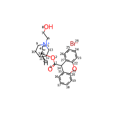 O=C(O[C@H]1C[N+]2(CCO)CCC1CC2)C1c2ccccc2Oc2ccccc21.[Br-]